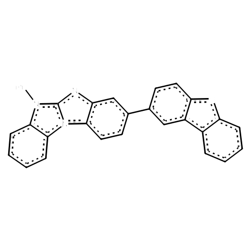 CC(C)n1c2ccccc2n2c3ccc(-c4ccc5oc6ccccc6c5c4)cc3nc12